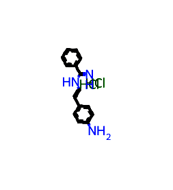 Cl.Cl.N=C(NC=Cc1ccc(N)cc1)c1ccccc1